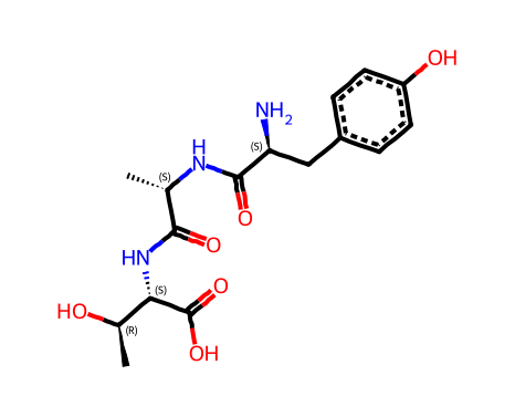 C[C@H](NC(=O)[C@@H](N)Cc1ccc(O)cc1)C(=O)N[C@H](C(=O)O)[C@@H](C)O